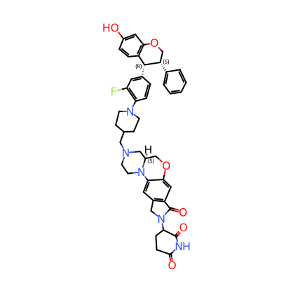 O=C1CCC(N2Cc3cc4c(cc3C2=O)OC[C@@H]2CN(CC3CCN(c5ccc([C@@H]6c7ccc(O)cc7OC[C@@H]6c6ccccc6)cc5F)CC3)CCN42)C(=O)N1